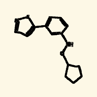 c1cc(NOC2CCCC2)cc(-c2ccns2)c1